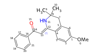 COc1ccc2c(c1)CC(C)(C)N/C2=C\C(=O)c1ccccc1